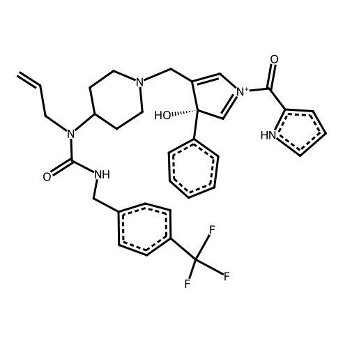 C=CCN(C(=O)NCc1ccc(C(F)(F)F)cc1)C1CCN(CC2=C[N+](C(=O)c3ccc[nH]3)=C[C@@]2(O)c2ccccc2)CC1